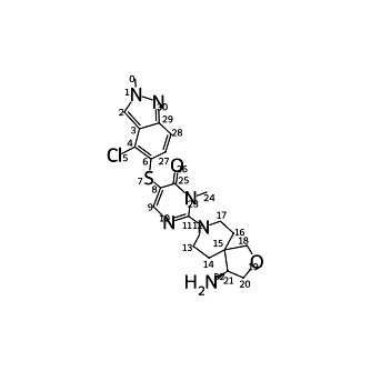 Cn1cc2c(Cl)c(Sc3cnc(N4CCC5(CC4)COC[C@H]5N)n(C)c3=O)ccc2n1